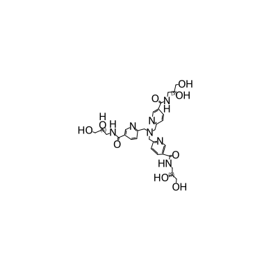 O=C(NC[C@H](O)CO)c1ccc(CN(Cc2ccc(C(=O)NC[C@H](O)CO)cn2)Cc2ccc(C(=O)NC[C@H](O)CO)cn2)nc1